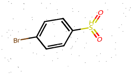 O=[SH](=O)c1ccc(Br)cc1